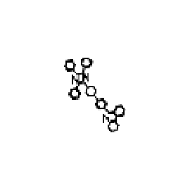 c1ccc(-c2nc(-c3ccccc3)c(-c3ccc(-c4ccc(-c5nc6ccccc6c6ccccc56)cc4)cc3)nc2-c2ccccc2)cc1